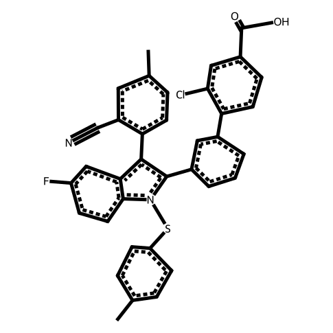 Cc1ccc(Sn2c(-c3cccc(-c4ccc(C(=O)O)cc4Cl)c3)c(-c3ccc(C)cc3C#N)c3cc(F)ccc32)cc1